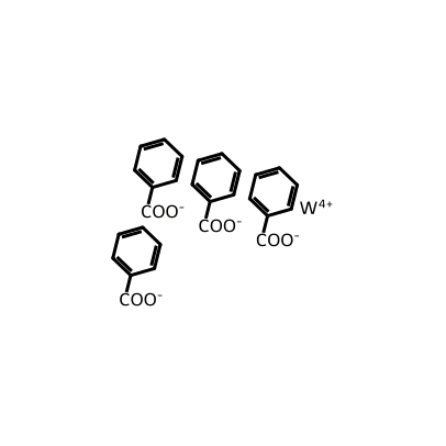 O=C([O-])c1ccccc1.O=C([O-])c1ccccc1.O=C([O-])c1ccccc1.O=C([O-])c1ccccc1.[W+4]